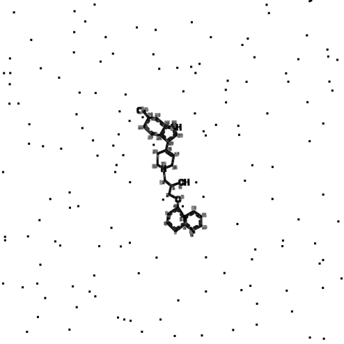 OC(COc1cccc2ncccc12)CN1CC=C(c2c[nH]c3cc(Cl)ccc23)CC1